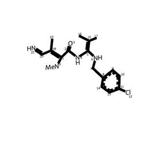 CN/C(C(=O)NC(NCc1ccc(Cl)cc1)=C(C)C)=C(/C)C=N